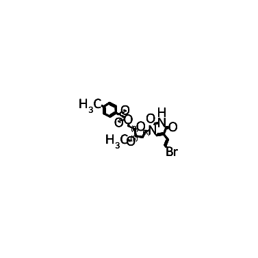 CO[C@H]1C[C@H](n2cc(C=CBr)c(=O)[nH]c2=O)O[C@@H]1COS(=O)(=O)c1ccc(C)cc1